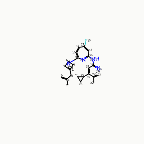 C=C(C)CC12CC(C1)N(C1=C=CC(F)=CC(NC(/C=C(\C(=C)C)C3CC3)=N/C)=N1)C2